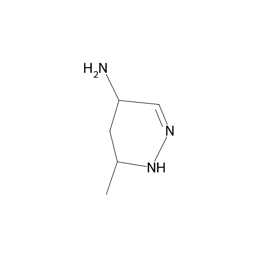 CC1CC(N)C=NN1